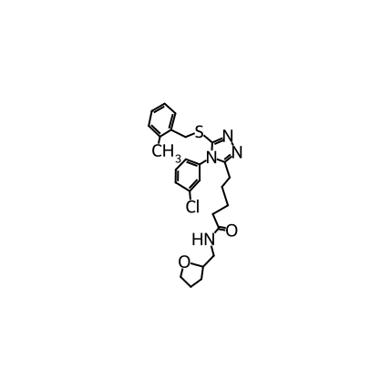 Cc1ccccc1CSc1nnc(CCCCC(=O)NCC2CCCO2)n1-c1cccc(Cl)c1